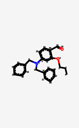 CCCOc1cc(N(Cc2ccccc2)Cc2ccccc2)ccc1C=O